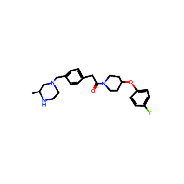 C[C@H]1CN(Cc2ccc(CC(=O)N3CCC(Oc4ccc(F)cc4)CC3)cc2)CCN1